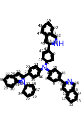 C1=CC(N(c2ccc(-c3cc4ccccc4cn3)cc2)c2ccc(-c3cc4ccccc4n3-c3ccccc3)cc2)CC=C1C1C=c2ccccc2=CN1